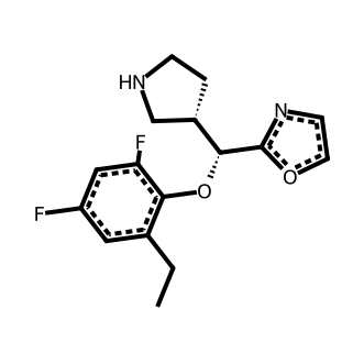 CCc1cc(F)cc(F)c1O[C@@H](c1ncco1)[C@H]1CCNC1